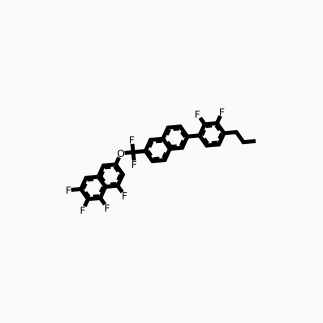 CCCc1ccc(-c2ccc3cc(C(F)(F)Oc4cc(F)c5c(F)c(F)c(F)cc5c4)ccc3c2)c(F)c1F